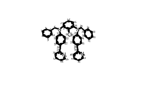 Clc1c(N(Cc2ccccc2)c2ccc(-c3ccccn3)cc2)cccc1N(Cc1ccccc1)c1ccc(-c2ccccn2)cc1